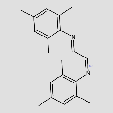 Cc1cc(C)c(N=C/C=N\c2c(C)cc(C)cc2C)c(C)c1